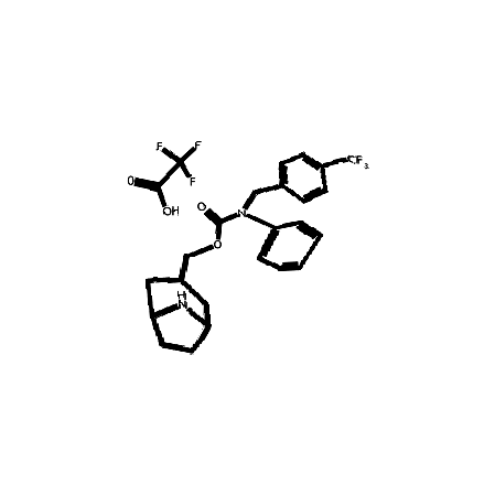 O=C(O)C(F)(F)F.O=C(OCC1CC2CCC(C1)N2)N(Cc1ccc(C(F)(F)F)cc1)c1ccccc1